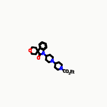 CCOC(=O)N1CCC(N2CCC(N3C(=O)C4(CCOCC4)c4ccccc43)CC2)CC1